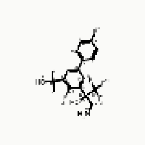 CC(C)(O)c1cc(-c2ccc(F)cc2)nc(C(O)(CN)C(F)(F)F)c1F